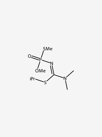 COP(=O)(/N=C(\SC(C)C)N(C)C)SC